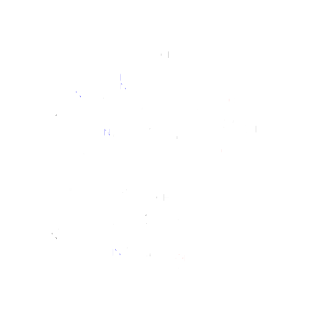 Cc1cc(S(C)(=O)=O)ccc1Nc1nccc(-c2cc(C#N)c3c(c2)C(C)(CO)CN3)n1